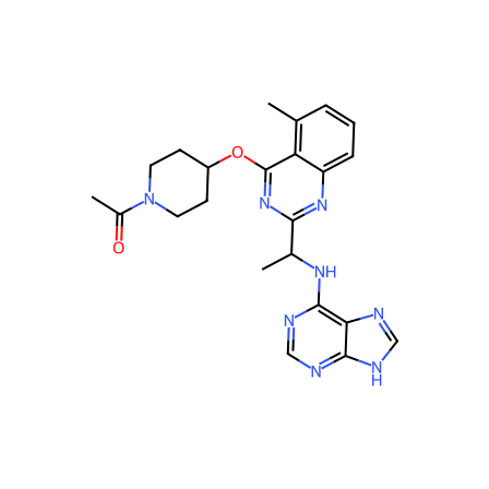 CC(=O)N1CCC(Oc2nc(C(C)Nc3ncnc4[nH]cnc34)nc3cccc(C)c23)CC1